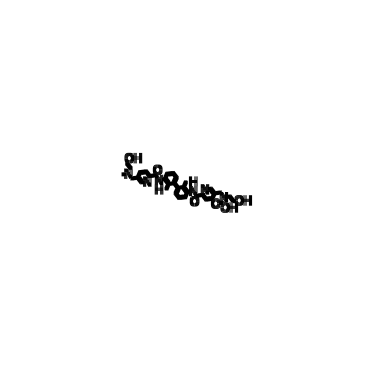 Cc1c(NC(=O)c2ccc(CN(C)CCO)cn2)cccc1-c1cccc(NC(=O)c2ccc(CN(CCO)C(=O)O)cn2)c1C